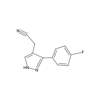 N#CCc1c[nH]nc1-c1ccc(F)cc1